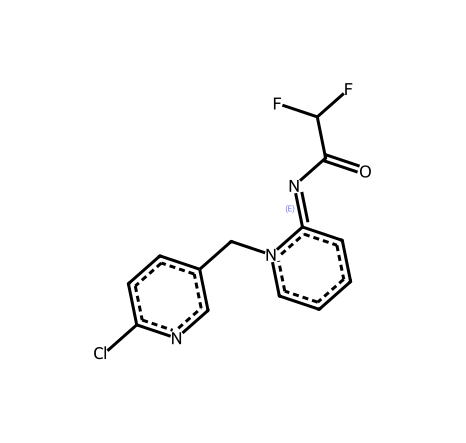 O=C(/N=c1\ccccn1Cc1ccc(Cl)nc1)C(F)F